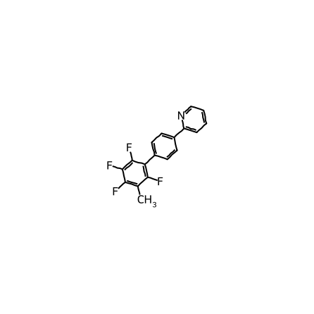 Cc1c(F)c(F)c(F)c(-c2ccc(-c3ccccn3)cc2)c1F